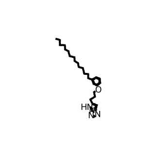 CCCCCCCCCCCCCCCc1cccc(OCCCc2cc3ncnn3[nH]2)c1